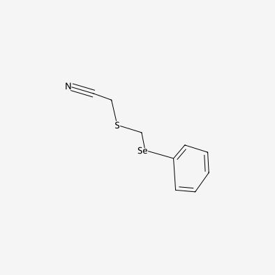 N#CCSC[Se]c1ccccc1